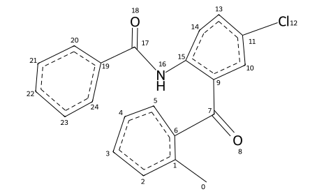 Cc1ccccc1C(=O)c1cc(Cl)ccc1NC(=O)c1ccccc1